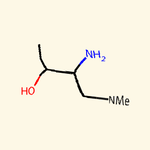 CNCC(N)C(C)O